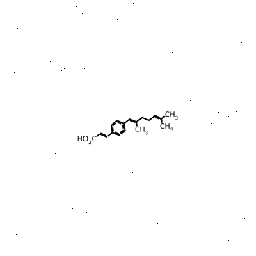 CC(C)=CCC/C(C)=C/c1ccc(/C=C/C(=O)O)cc1